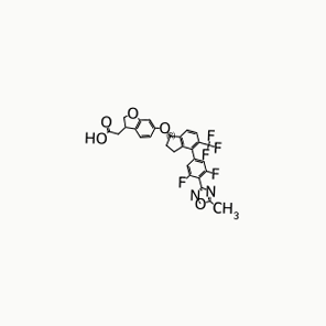 Cc1nc(-c2c(F)cc(-c3c(C(F)(F)F)ccc4c3CC[C@H]4Oc3ccc4c(c3)OCC4CC(=O)O)cc2F)no1